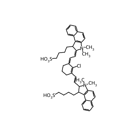 C[N+]1(C)C(=CC=C2CCCC(C=CC3C(CCCCS(=O)(=O)O)c4c(ccc5ccccc45)[N+]3(C)C)=C2Cl)C(CCCCS(=O)(=O)O)c2c1ccc1ccccc21